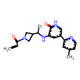 C=CC(=O)N1CC(C(CC)Nc2cc(-c3cc(C)ccn3)c[nH]c2=O)C1